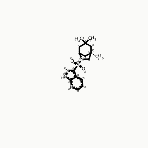 CC1(C)CC2C[C@](C)(CN2S(=O)(=O)c2n[nH]c3ncccc23)C1